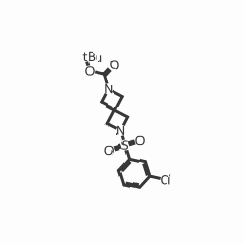 CC(C)(C)OC(=O)N1CC2(C1)CN(S(=O)(=O)c1cccc(Cl)c1)C2